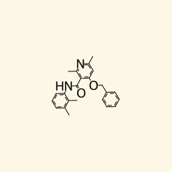 Cc1cc(OCc2ccccc2)c(C(=O)Nc2cccc(C)c2C)c(C)n1